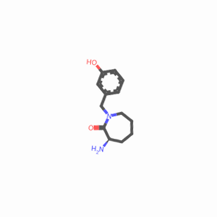 N[C@@H]1CCCCN(Cc2cccc(O)c2)C1=O